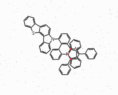 c1ccc(-c2cc(-c3ccccc3)nc(-c3cccc(-n4c5ccccc5c5c6sc7ccccc7c6ccc54)c3-c3ccccc3-n3c4ccccc4c4ccccc43)n2)cc1